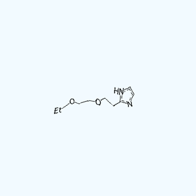 CCOCCOCCc1ncc[nH]1